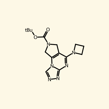 CC(C)(C)OC(=O)N1Cc2c(N3CCC3)nc3nncn3c2C1